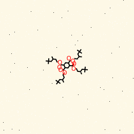 CC(CCOC(=O)C1CC(C(=O)OCCC(C)CC(C)(C)C)C(C(=O)OCCC(C)CC(C)(C)C)CC1C(=O)OCCC(C)CC(C)(C)C)CC(C)(C)C